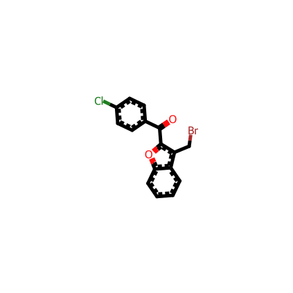 O=C(c1ccc(Cl)cc1)c1oc2ccccc2c1CBr